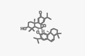 CC(C)C1=C[C@]23O[C@H]2[C@H](Oc2cc4c(cc2C(C)C)C=CC2C(C)(C)CCC[C@]42C)C2C(C)(C)[C@@H](O)CC[C@]2(C)C3=CC1=O